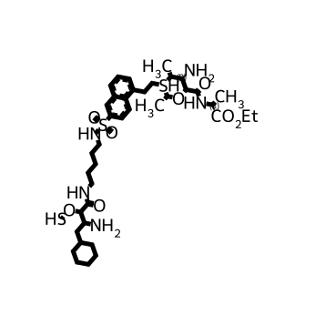 CCOC(=O)[C@@H](C)NC(=O)C1OC(C)[SH](CCc2cccc3cc(S(=O)(=O)NCCCCCNC(=O)C(OS)C(N)CC4CCCCC4)ccc23)C(C)[C@@H]1N